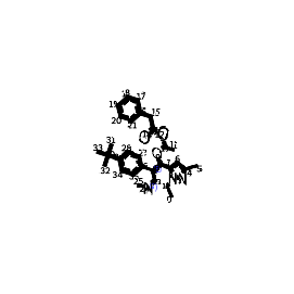 CCn1nc(C)cc1/C(OC(C)OC(=O)Cc1ccccc1)=C(\C=N/C)c1ccc(C(C)(C)C)cc1